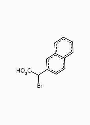 O=C(O)C(Br)c1ccc2ccccc2c1